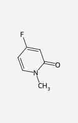 Cn1ccc(F)cc1=O